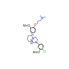 COc1cc(N2CCN3[C@@H](CCC[C@@H]3c3ccc(OCCCN(C)C)c(OC)c3)C2)ccc1Cl